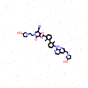 Cc1c(Nc2nccc3cc(CN4CC[C@@H](O)C4)cnc23)cccc1-c1cccc(-c2nc3c(=O)n(CCN4CC[C@@H](O)C4)cc(C#N)c3o2)c1C